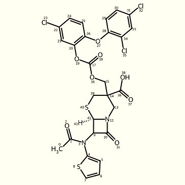 CC(=O)N(c1cccs1)C1C(=O)N2CC(COC(=O)Oc3cc(Cl)ccc3Oc3ccc(Cl)cc3Cl)(C(=O)O)CS[C@H]12